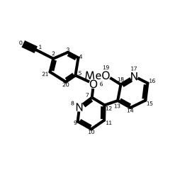 C#Cc1ccc(Oc2ncccc2-c2cccnc2OC)cc1